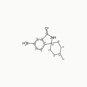 Bc1ccc2c(c1)C(=O)NC21CCC(C)CC1